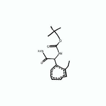 Cc1ccccc1C(NC(=O)OC(C)(C)C)C(=O)O